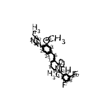 COc1cc(C=C2CCCN(C(C)(C)c3cc(F)cc(F)c3)C2=O)ccc1-n1cnc(C)c1